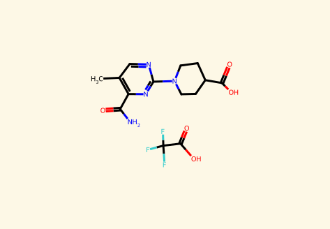 Cc1cnc(N2CCC(C(=O)O)CC2)nc1C(N)=O.O=C(O)C(F)(F)F